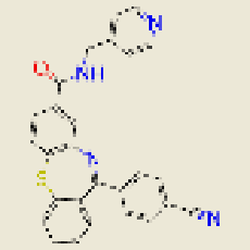 N#Cc1ccc(C2=Nc3cc(C(=O)NCc4ccncc4)ccc3Sc3ccccc32)cc1